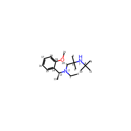 CCN(CC(C)(C)NC(C)(C)C)[C@@H](C)c1ccccc1OC